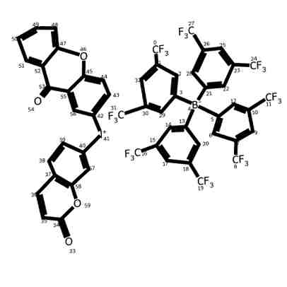 FC(F)(F)c1cc([B-](c2cc(C(F)(F)F)cc(C(F)(F)F)c2)(c2cc(C(F)(F)F)cc(C(F)(F)F)c2)c2cc(C(F)(F)F)cc(C(F)(F)F)c2)cc(C(F)(F)F)c1.O=c1ccc2ccc([I+]c3ccc4oc5ccccc5c(=O)c4c3)cc2o1